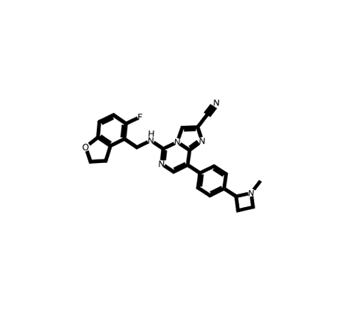 CN1CCC1c1ccc(-c2cnc(NCc3c(F)ccc4c3CCO4)n3cc(C#N)nc23)cc1